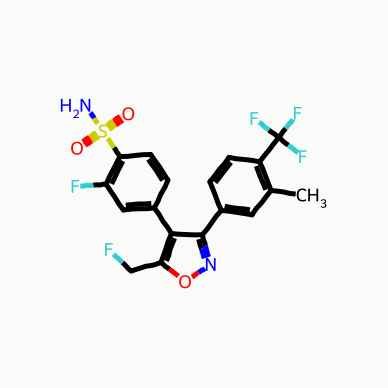 Cc1cc(-c2noc(CF)c2-c2ccc(S(N)(=O)=O)c(F)c2)ccc1C(F)(F)F